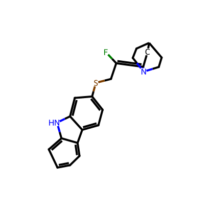 FC(CSc1ccc2c(c1)[nH]c1ccccc12)=C1CC2CCN1CC2